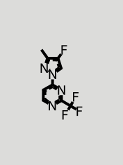 Cc1nn(-c2ccnc(C(F)(F)F)n2)cc1F